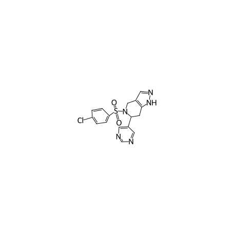 O=S(=O)(c1ccc(Cl)cc1)N1Cc2cn[nH]c2CC1c1cncnc1